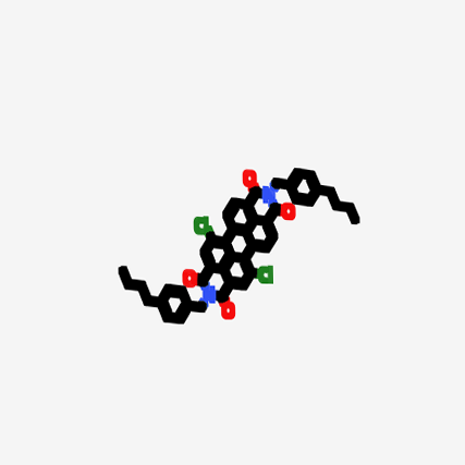 CCCCc1ccc(CN2C(=O)c3ccc4c5c(Cl)cc6c7c(cc(Cl)c(c8ccc(c3c48)C2=O)c75)C(=O)N(Cc2ccc(CCCC)cc2)C6=O)cc1